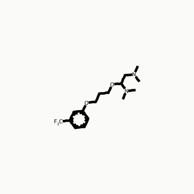 CN(C)CC(OCCCOc1cccc(C(F)(F)F)c1)N(C)C